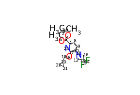 CC(C)(C)OC(=O)c1ccc(N2CC(F)(F)C2)c(OCC2CC2)n1